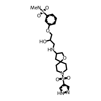 CNS(=O)(=O)c1cccc(OCC(O)CNC2COC3(CCN(S(=O)(=O)c4cn[nH]c4)CC3)C2)c1